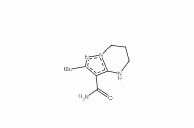 CC(C)(C)c1nn2c(c1C(N)=O)NCCC2